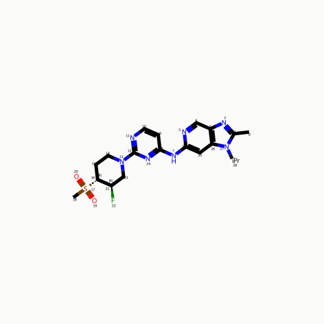 Cc1nc2cnc(Nc3ccnc(N4CC[C@@H](S(C)(=O)=O)[C@H](F)C4)n3)cc2n1C(C)C